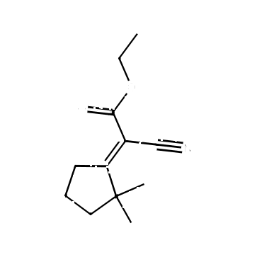 CCOC(=O)/C(C#N)=C1\CCCC1(C)C